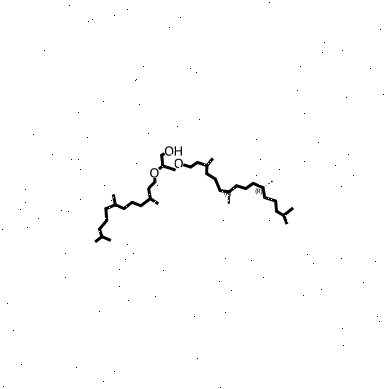 CC(C)CCCC(C)CCCC(C)CCOC(CO)COCCC(C)CCC[C@H](C)CCC[C@H](C)CCCC(C)C